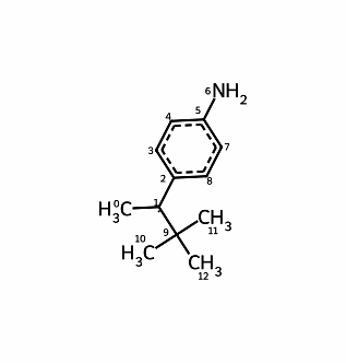 C[C](c1ccc(N)cc1)C(C)(C)C